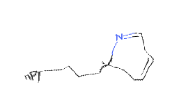 CCCCC[C]1C=CC=N1